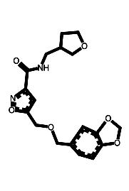 O=C(NCC1CCOC1)c1cc(COCc2ccc3c(c2)OCO3)on1